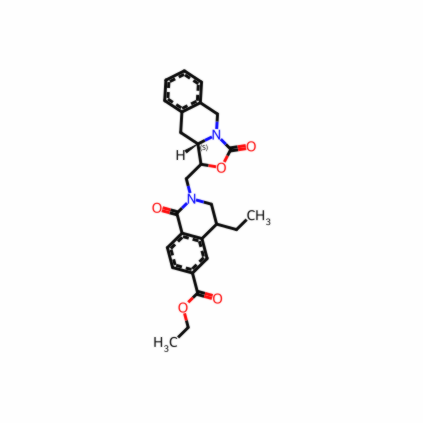 CCOC(=O)c1ccc2c(c1)C(CC)CN(CC1OC(=O)N3Cc4ccccc4C[C@@H]13)C2=O